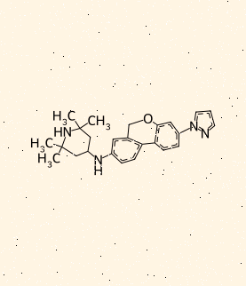 CC1(C)CC(Nc2ccc3c(c2)COc2cc(-n4cccn4)ccc2-3)CC(C)(C)N1